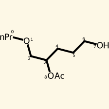 CCCOCC(CCCO)OC(C)=O